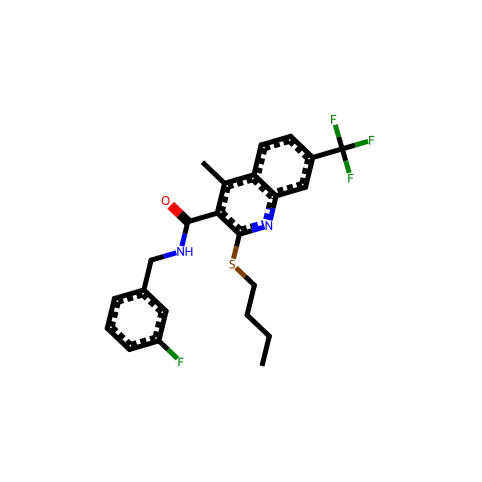 CCCCSc1nc2cc(C(F)(F)F)ccc2c(C)c1C(=O)NCc1cccc(F)c1